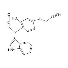 C#CCOc1ccc(C(C=C=O)c2c[nH]c3ccccc23)c(O)c1